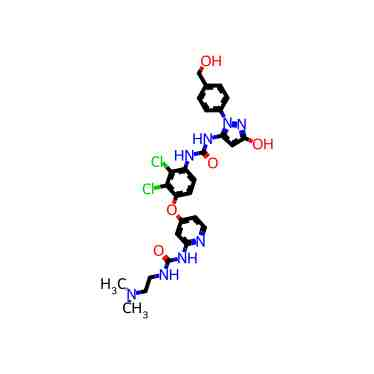 CN(C)CCNC(=O)Nc1cc(Oc2ccc(NC(=O)Nc3cc(O)nn3-c3ccc(CO)cc3)c(Cl)c2Cl)ccn1